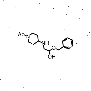 CC(=O)N1CCC(NCC(O)OCc2ccccc2)CC1